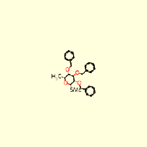 CS[C@@H]1O[C@@H](C)[C@@H](OCc2ccccc2)[C@@H](OCc2ccccc2)[C@@H]1OCc1ccccc1